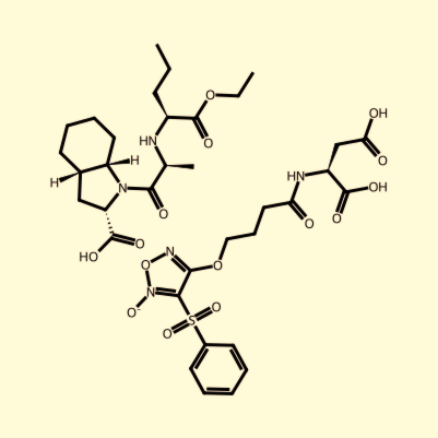 CCC[C@H](N[C@@H](C)C(=O)N1[C@H](C(=O)O)C[C@@H]2CCCC[C@@H]21)C(=O)OCC.O=C(O)C[C@H](NC(=O)CCCOc1no[n+]([O-])c1S(=O)(=O)c1ccccc1)C(=O)O